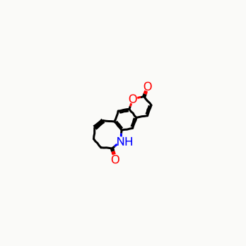 O=C1CCC#Cc2cc3oc(=O)ccc3cc2N1